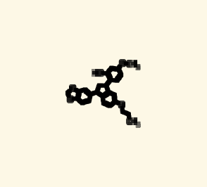 CCCOc1ccc2c(c1)C(c1ccc(OC)cc1O)CC2c1ccc2c(c1)OCO2